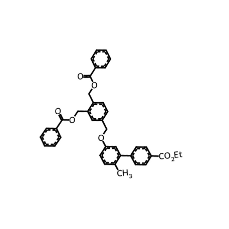 CCOC(=O)c1ccc(-c2cc(OCc3ccc(COC(=O)c4ccccc4)c(COC(=O)c4ccccc4)c3)ccc2C)cc1